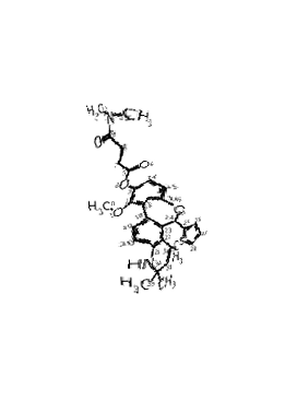 COc1c(OC(=O)CCC(=O)N(C)C)ccc2c1-c1ccc3c(c1C(c1cccs1)O2)C(C)=CC(C)(C)N3